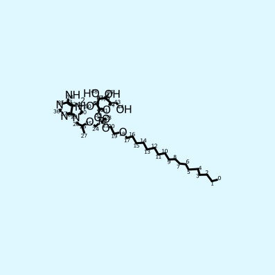 CCCCCCCCCCCCCCCCCCOCCOP(=O)(COC(C)Cn1cnc2c(N)ncnc21)OC1O[C@H](CO)[C@H](O)[C@H](O)[C@H]1O